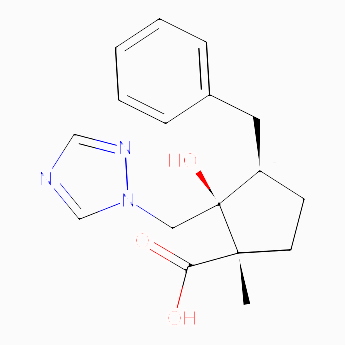 C[C@]1(C(=O)O)CC[C@H](Cc2ccccc2)[C@@]1(O)Cn1cncn1